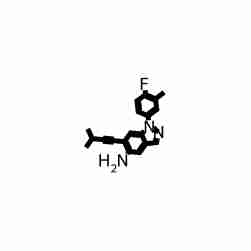 Cc1cc(-n2ncc3cc(N)c(C#CC(C)C)cc32)ccc1F